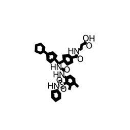 Cc1ccc(NC(=O)NC(c2ccc(C(=O)NCCC(=O)O)cc2)c2ccc(C3=CCCCC3)cc2)c(S(=O)(=O)Nc2ccccc2)c1C